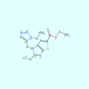 CCOC(=O)c1cc2c(nc(CCl)n2Cc2cncn2CC)s1